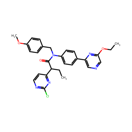 CCOc1cncc(-c2ccc(N(Cc3ccc(OC)cc3)C(=O)C(CC)c3ccnc(Cl)n3)cc2)n1